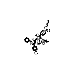 CCCCOC(=O)N1CCN(C(=O)[C@H](CP(=O)(OCC)OCC)NC(=O)c2cc(-c3ccc(OC)cc3)nc(-c3ccccc3)n2)CC1